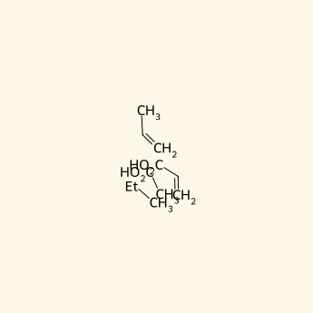 C=CC.C=CC(=O)O.CC(=O)O.CCC